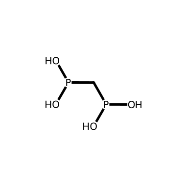 OP(O)CP(O)O